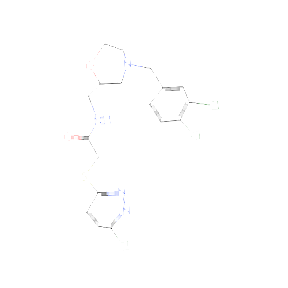 O=C(CSc1ccc(Cl)nn1)NCC1CN(Cc2ccc(Cl)c(Cl)c2)CCO1